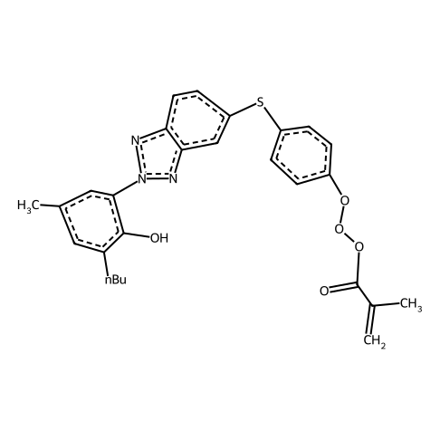 C=C(C)C(=O)OOOc1ccc(Sc2ccc3nn(-c4cc(C)cc(CCCC)c4O)nc3c2)cc1